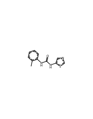 Cc1ccccc1NC(=O)Nc1cncs1